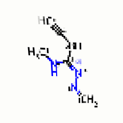 C#CB/C(=N/N=C)NC